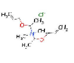 C=CCOC(C)[N+](C)(C)C(C)OCC=C.[Cl-]